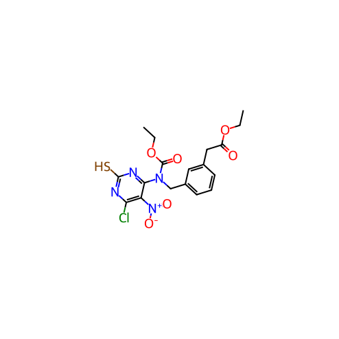 CCOC(=O)Cc1cccc(CN(C(=O)OCC)c2nc(S)nc(Cl)c2[N+](=O)[O-])c1